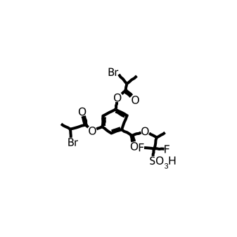 CC(Br)C(=O)Oc1cc(OC(=O)C(C)Br)cc(C(=O)OC(C)C(F)(F)S(=O)(=O)O)c1